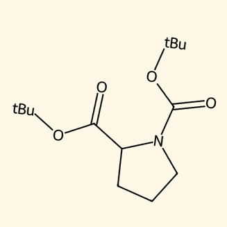 CC(C)(C)OC(=O)C1CCCN1C(=O)OC(C)(C)C